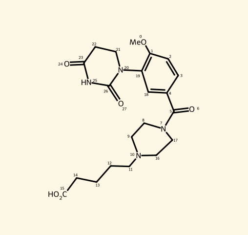 COc1ccc(C(=O)N2CCN(CCCCC(=O)O)CC2)cc1N1CCC(=O)NC1=O